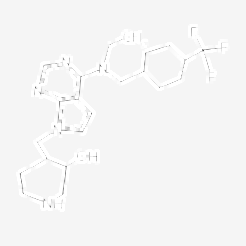 CCN(CC1CCC(C(F)(F)F)CC1)c1ncnc2c1ccn2CC1CCNCC1O